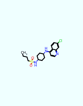 CCCCS(=O)(=O)N[C@H]1CC[C@@H](Nc2ccnc3cc(Cl)ccc23)CC1